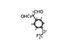 O=CC(C=O)c1ccc(OC(F)(F)F)cc1